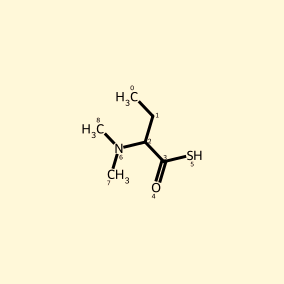 CCC(C(=O)S)N(C)C